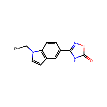 CC(C)Cn1ccc2cc(-c3noc(=O)[nH]3)ccc21